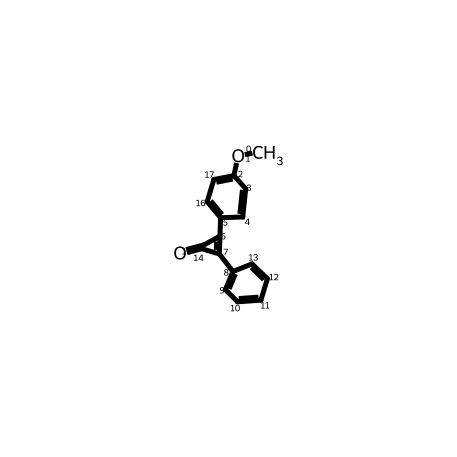 COc1ccc(-c2c(-c3ccccc3)c2=O)cc1